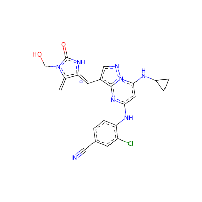 C=c1/c(=C/c2cnn3c(NC4CC4)cc(Nc4ccc(C#N)cc4Cl)nc23)[nH]c(=O)n1CO